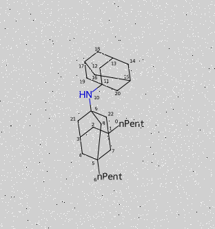 CCCCCC12CC3CC(CCCCC)(C1)CC(NC14CC5CC(CC(C5)C1)C4)(C3)C2